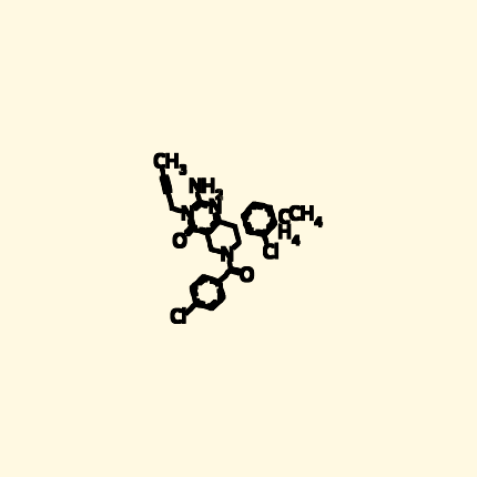 C.C.CC#CCn1c(N)nc2c(c1=O)CN(C(=O)c1ccc(Cl)cc1)CC2.Clc1ccccc1